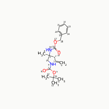 C=CCC(C)(CNC(=O)OC(C)(C)C)NC(=O)OCc1ccccc1